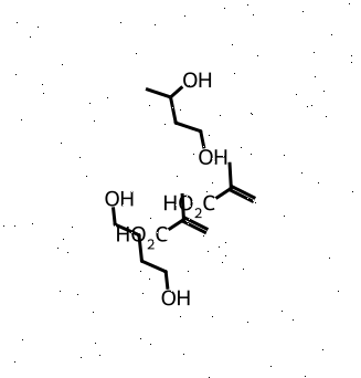 C=C(C)C(=O)O.C=C(C)C(=O)O.CC(O)CCO.OCCCCO